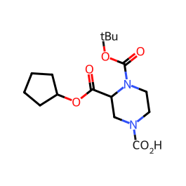 CC(C)(C)OC(=O)N1CCN(C(=O)O)CC1C(=O)OC1CCCC1